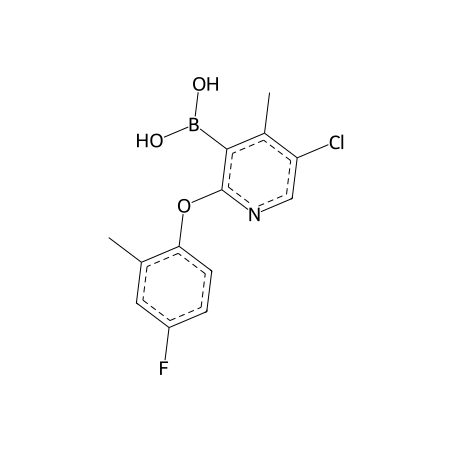 Cc1cc(F)ccc1Oc1ncc(Cl)c(C)c1B(O)O